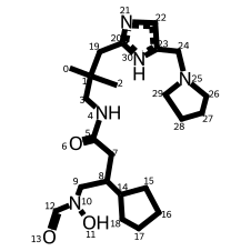 CC(C)(CNC(=O)CC(CN(O)C=O)C1CCCC1)Cc1ncc(CN2CCCC2)[nH]1